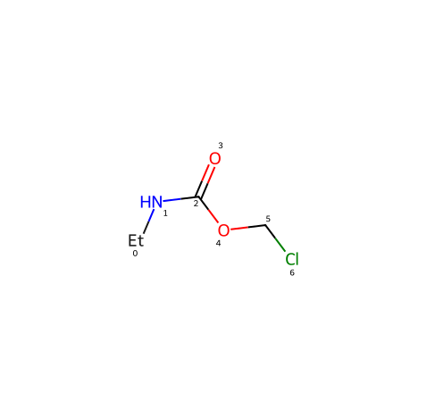 [CH2]CNC(=O)OCCl